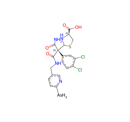 NC(=O)[C@](C(=O)NCc1ccc([AsH2])nc1)(c1ccc(Cl)c(Cl)c1)C1N[C@@H](C(=O)O)CS1